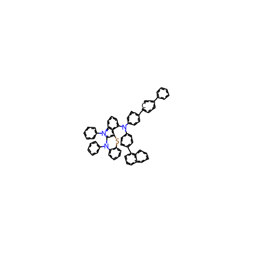 c1ccc(-c2ccc(-c3ccc(N(c4ccc(-c5cccc6ccccc56)cc4)c4cccc5c4c4c(n5-c5ccccc5)N(c5ccccc5)c5ccccc5S4)cc3)cc2)cc1